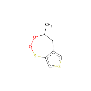 CC1Cc2cscc2SOO1